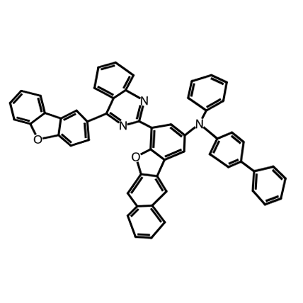 c1ccc(-c2ccc(N(c3ccccc3)c3cc(-c4nc(-c5ccc6oc7ccccc7c6c5)c5ccccc5n4)c4oc5cc6ccccc6cc5c4c3)cc2)cc1